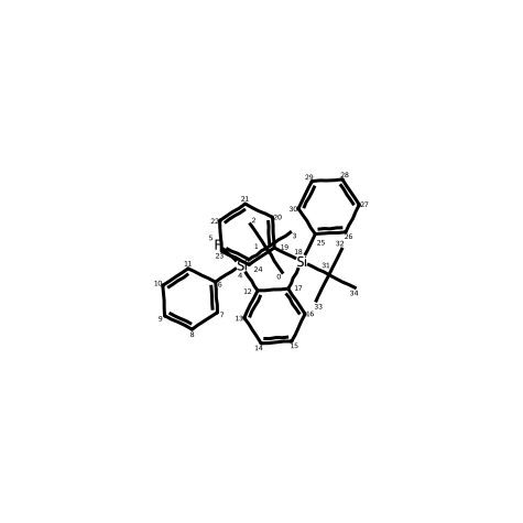 CC(C)(C)[Si](F)(c1ccccc1)c1ccccc1[Si](c1ccccc1)(c1ccccc1)C(C)(C)C